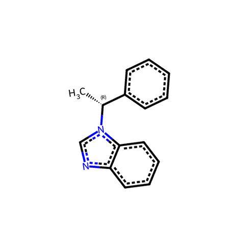 C[C@H](c1ccccc1)n1cnc2ccccc21